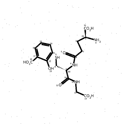 N[C@@H](CCC(=O)N[C@@H](CS)C(=O)NCC(=O)O)C(=O)O.O=C(O)c1ccccc1O